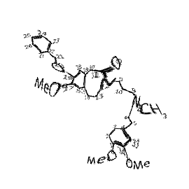 COc1ccc(CCN(C)CCCN2CCc3cc(OC)c(OCc4ccccc4)cc3CC2=O)cc1OC